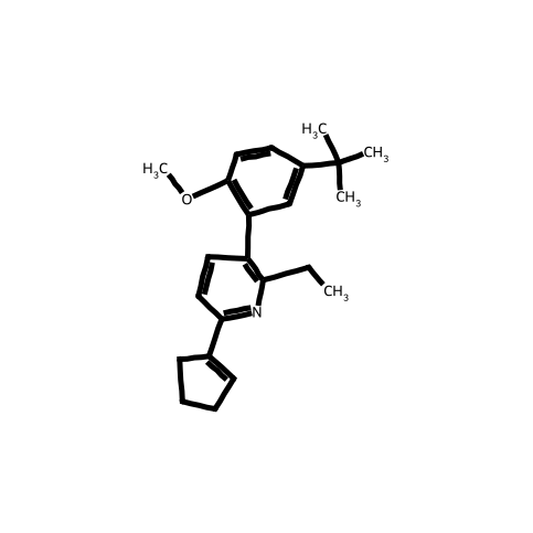 CCc1nc(C2=CCCC2)ccc1-c1cc(C(C)(C)C)ccc1OC